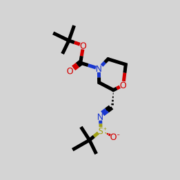 CC(C)(C)OC(=O)N1CCO[C@H](C=N[S@+]([O-])C(C)(C)C)C1